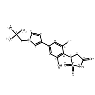 CC(C)(O)Cn1cc(-c2cc(O)c(N3CC(=O)NS3(=O)=O)c(F)c2)cn1